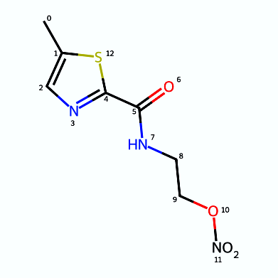 Cc1cnc(C(=O)NCCO[N+](=O)[O-])s1